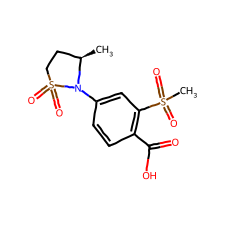 C[C@@H]1CCS(=O)(=O)N1c1ccc(C(=O)O)c(S(C)(=O)=O)c1